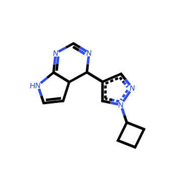 C1=CC2C(=NC=NC2c2cnn(C3CCC3)c2)N1